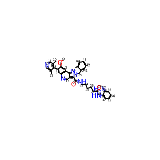 COc1cc2c(cc1-c1c(C)cncc1C)ncc1c(C(=O)NCCCCCC(=O)Nc3ccccc3N)n(Cc3ccccc3)nc12